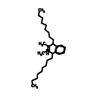 CCCCCCCCCC(NC)c1ccccc1C(CCCCCCCCC)NC